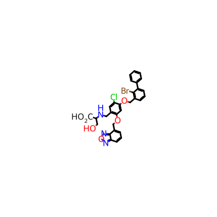 O=C(O)C(CO)NCc1cc(Cl)c(OCc2cccc(-c3ccccc3)c2Br)cc1OCc1cccc2nonc12